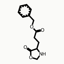 O=C(CCC1NCOC1=O)OCc1ccccc1